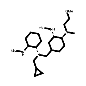 COCCN(C)[C@H]1CCC(CN(CC2CC2)[C@H]2CCCC[C@@H]2NC(C)(C)C)C[C@@H]1NC(C)(C)C